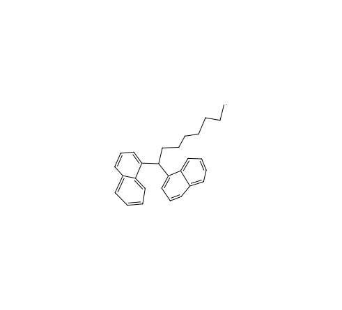 [CH2]CCCCCCC(c1cccc2ccccc12)c1cccc2ccccc12